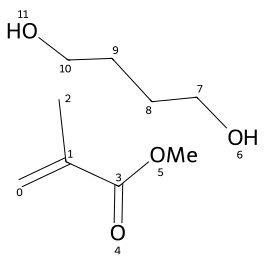 C=C(C)C(=O)OC.OCCCCO